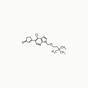 C[Si](C)(C)CCOCn1ccc2c(Cl)c(C3=CC(=O)CC3)cnc21